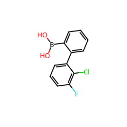 OB(O)c1ccccc1-c1cccc(F)c1Cl